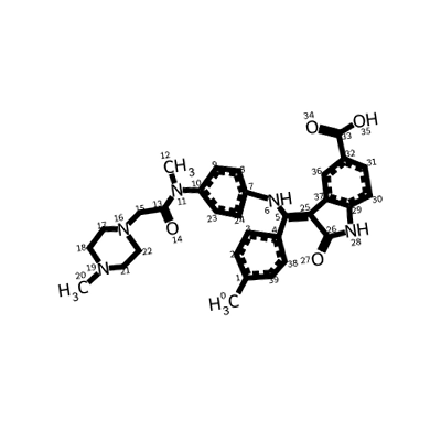 Cc1ccc(C(Nc2ccc(N(C)C(=O)CN3CCN(C)CC3)cc2)=C2C(=O)Nc3ccc(C(=O)O)cc32)cc1